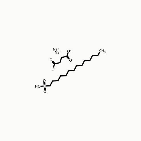 CCCCCCCCCCCCCCS(=O)(=O)O.O=C([O-])CCC(=O)[O-].[Na+].[Na+]